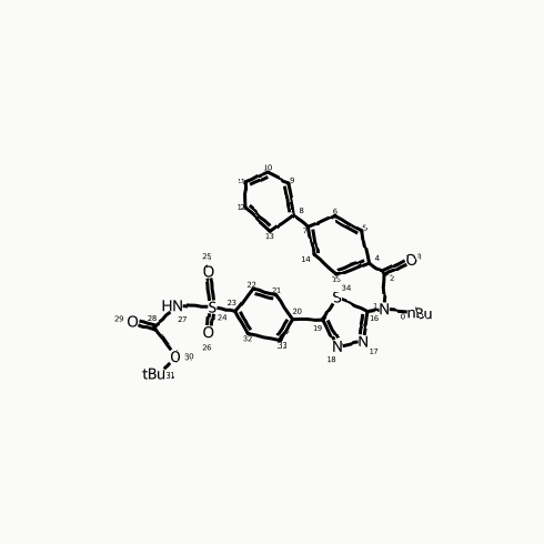 CCCCN(C(=O)c1ccc(-c2ccccc2)cc1)c1nnc(-c2ccc(S(=O)(=O)NC(=O)OC(C)(C)C)cc2)s1